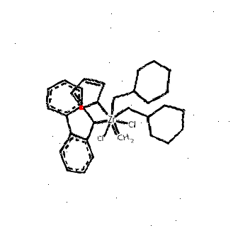 [CH2]=[Zr]([Cl])([Cl])([CH2]C1CCCCC1)([CH2]C1CCCCC1)([CH]1C=CC=C1)[CH]1c2ccccc2-c2ccccc21